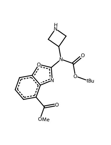 COC(=O)c1cccc2oc(N(C(=O)OC(C)(C)C)C3CNC3)nc12